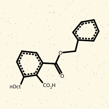 CCCCCCCCc1cccc(C(=O)OCc2ccccc2)c1C(=O)O